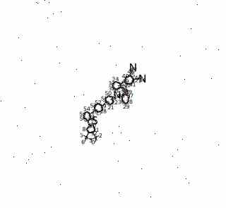 CC1(C)CC(C)(C)c2cc3c(cc21)sc1c(-c2ccc(-c4ccc(N(c5ccccc5)c5cccc6c5C(C)(C)c5cc(C#N)c(C#N)cc5-6)cc4)cc2)cccc13